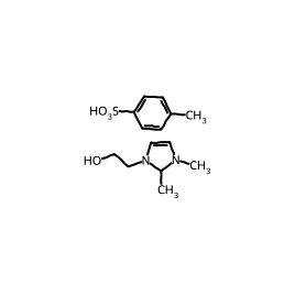 CC1N(C)C=CN1CCO.Cc1ccc(S(=O)(=O)O)cc1